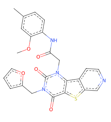 COc1cc(C)ccc1NC(=O)Cn1c(=O)n(Cc2ccco2)c(=O)c2sc3cnccc3c21